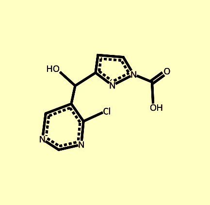 O=C(O)n1ccc(C(O)c2cncnc2Cl)n1